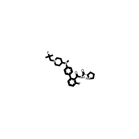 CN(c1ccc(-c2cccc(F)c2C(=O)NC(=O)[C@@H]2CCCN2)cc1)C1CCN(CC(C)(C)F)CC1